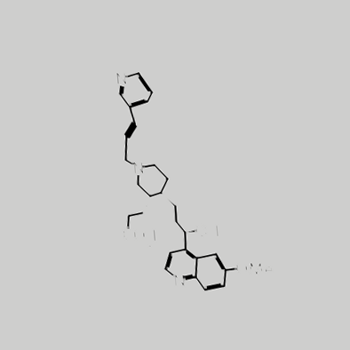 COc1ccc2nccc([C@H](O)CC[C@@H]3CCN(CC#Cc4cccnc4)C[C@H]3CCC(=O)O)c2c1